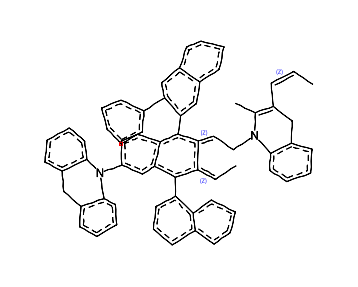 C/C=C\C1=C(C)N(C/C=c2/c(-c3cc4ccccc4cc3-c3ccccc3)c3ccc(N4c5ccccc5Cc5ccccc54)cc3c(-c3cccc4ccccc34)/c2=C/C)c2ccccc2C1